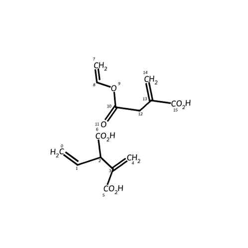 C=CC(C(=C)C(=O)O)C(=O)O.C=COC(=O)CC(=C)C(=O)O